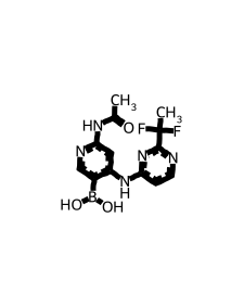 CC(=O)Nc1cc(Nc2ccnc(C(C)(F)F)n2)c(B(O)O)cn1